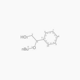 CCCCOC(CO)c1ccccc1